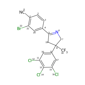 N#Cc1ccc(C2=NCC(c3cc(Cl)c(Cl)c(Cl)c3)(C(F)(F)F)C2)cc1Br